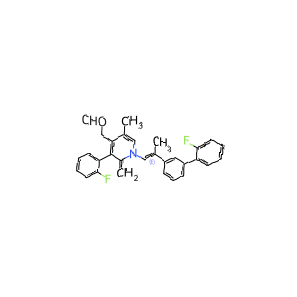 C=C1C(c2ccccc2F)=C(CC=O)C(C)=CN1/C=C(\C)c1cccc(-c2ccccc2F)c1